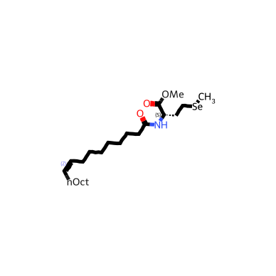 CCCCCCCC/C=C\CCCCCCCC(=O)N[C@@H](CC[Se]C)C(=O)OC